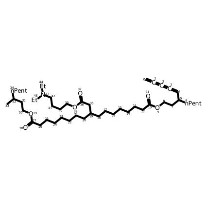 C=C=C=C=CC(CCCCC)CCOC(=O)CCCCCCCC(CCCCCCCC(=O)OCCC(C)CCCCC)CC(=O)OCCCCN(CC)CC